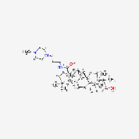 CN1CCN(CCCNC(=O)[C@]23CCC(C)(C)C[C@H]2C2=CC[C@@H]4[C@@]5(C)CC[C@H](O)C(C)(C)[C@@H]5CC[C@@]4(C)[C@]2(C)CC3)CC1